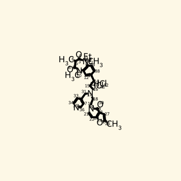 CC[N+]1(C)C(=O)C(C)C(=O)N(C)c2cc(CCCN(CCn3ccc4oc(C)cc4c3=O)Cc3ccncc3)ccc21.Cl.Cl